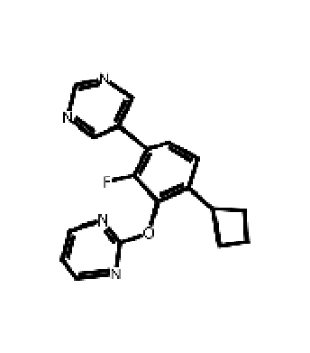 Fc1c(-c2cncnc2)ccc(C2CCC2)c1Oc1ncccn1